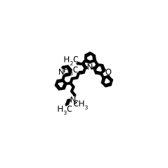 C=Cc1c(C=C(C)CCC(CCCN(C)/C=C\C)c2ccccc2-c2ccccn2)n2c3cc4c(cc3c3cccc1c32)oc1ccccc14